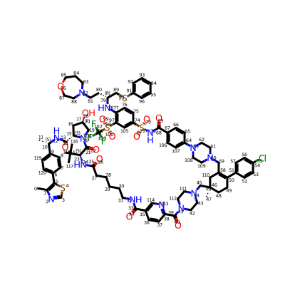 Cc1ncsc1-c1ccc([C@H](C)NC(=O)[C@@H]2C[C@@H](O)CN2C(=O)[C@@H](NC(=O)CCCCCNC(=O)c2ccc(C(=O)N3CCN(C[C@]4(C)CCC(c5ccc(Cl)cc5)=C(CN5CCN(c6ccc(C(=O)NS(=O)(=O)c7ccc(N[C@H](CCN8CCCOCC8)CSc8ccccc8)c(S(=O)(=O)C(F)(F)F)c7)cc6)CC5)C4)CC3)nc2)C(C)(C)C)cc1